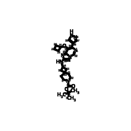 CC(C)(C)OC(=O)N1CCC2(CC1)CC(Nc1nc3c(OC4CCC4)c(-c4cn[nH]c4)ncn3n1)C2